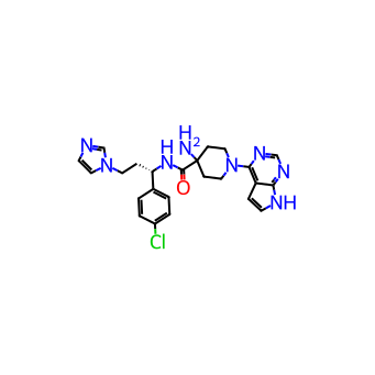 NC1(C(=O)N[C@@H](CCn2ccnc2)c2ccc(Cl)cc2)CCN(c2ncnc3[nH]ccc23)CC1